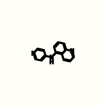 c1cc(Nc2ccncc2)c2cccnc2c1